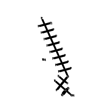 O=S(=O)(O)C(F)(F)C(F)(F)OC(F)(F)C(F)(F)C(F)(F)C(F)(F)C(F)(F)C(F)(F)C(F)(F)C(F)(F)Cl.[KH]